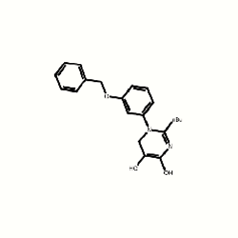 CCCCC1=NC(O)=C(O)CN1c1cccc(OCc2ccccc2)c1